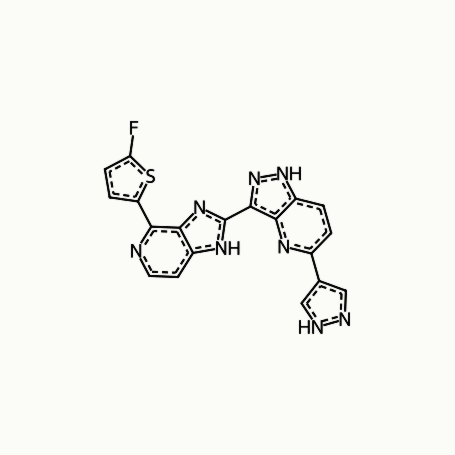 Fc1ccc(-c2nccc3[nH]c(-c4n[nH]c5ccc(-c6cn[nH]c6)nc45)nc23)s1